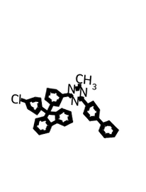 Cc1nc(-c2ccc(-c3ccccc3)cc2)nc(-c2cccc(C3(c4ccc(Cl)cc4)c4ccccc4-c4ccccc43)c2)n1